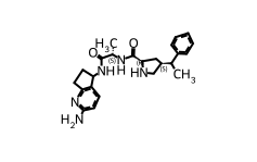 CC(c1ccccc1)[C@H]1CN[C@@H](C(=O)N[C@@H](C)C(=O)NC2CCc3nc(N)ccc32)C1